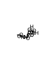 CCOC(=O)CN1CCN(C(=O)c2cc3cc(Cl)c4c(c3o2)C2(CCCCC2)NC(=O)N4)CC1